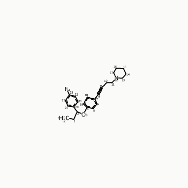 [CH2]CC(Oc1ccc(C#CCCN2CCCCC2)cc1)c1ccc(F)cc1